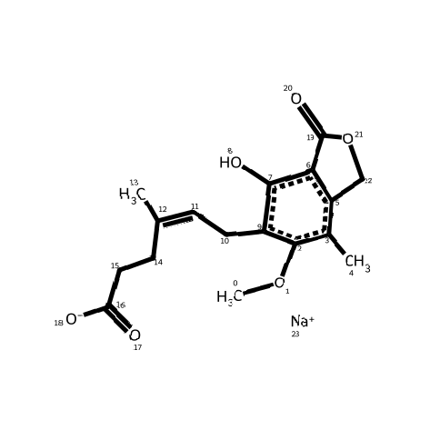 COc1c(C)c2c(c(O)c1CC=C(C)CCC(=O)[O-])C(=O)OC2.[Na+]